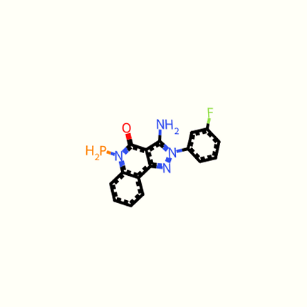 Nc1c2c(=O)n(P)c3ccccc3c2nn1-c1cccc(F)c1